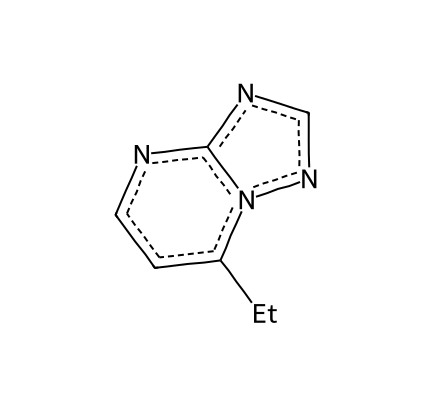 CCc1ccnc2ncnn12